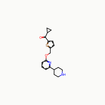 O=C(c1ccc(COc2cccc(C3CCNCC3)n2)s1)C1CC1